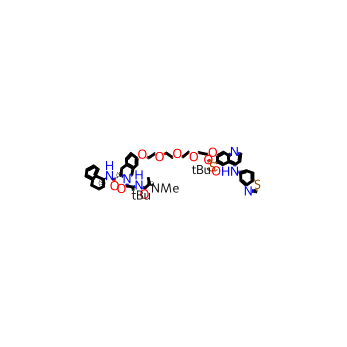 CN[C@@H](C)C(=O)NC(C(=O)N1Cc2cc(OCCOCCOCCOCCOc3cc4nccc(Nc5ccc6scnc6c5)c4cc3S(=O)(=O)C(C)(C)C)ccc2C[C@H]1C(=O)N[C@H]1CCCc2ccccc21)C(C)(C)C